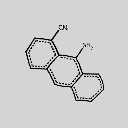 N#Cc1cccc2cc3ccccc3c(N)c12